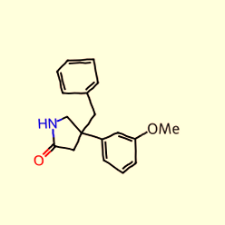 COc1cccc(C2(Cc3ccccc3)CNC(=O)C2)c1